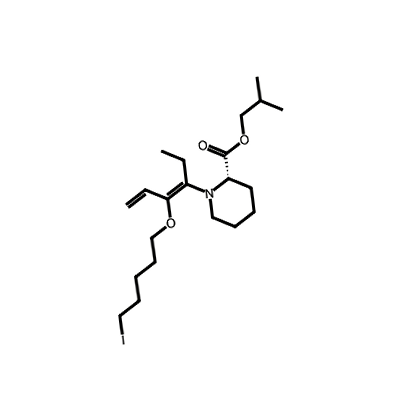 C=CC(OCCCCCI)=C(CC)N1CCCC[C@H]1C(=O)OCC(C)C